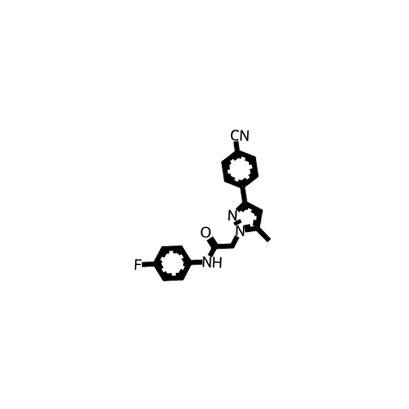 Cc1cc(-c2ccc(C#N)cc2)nn1CC(=O)Nc1ccc(F)cc1